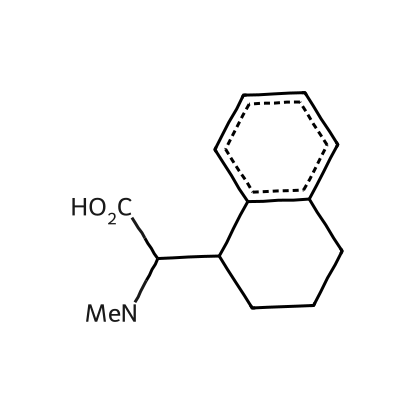 CNC(C(=O)O)C1CCCc2ccccc21